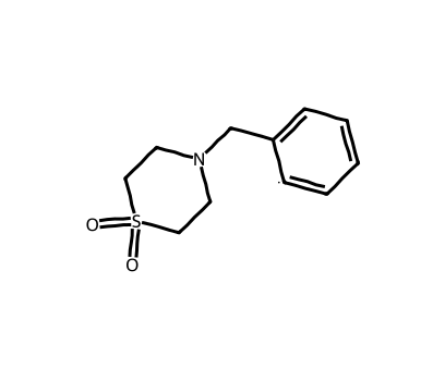 O=S1(=O)CCN(Cc2[c]cccc2)CC1